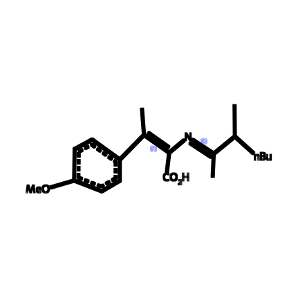 CCCCC(C)/C(C)=N/C(C(=O)O)=C(\C)c1ccc(OC)cc1